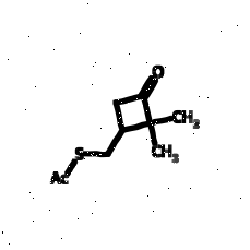 CC(=O)SCC1CC(=O)C1(C)C